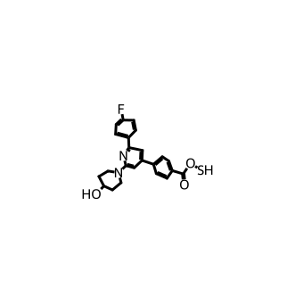 O=C(OS)c1ccc(-c2cc(-c3ccc(F)cc3)nc(N3CCC(O)CC3)c2)cc1